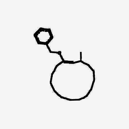 CC1/C=C(\OCc2ccccc2)CCCCCCCCCCCC1